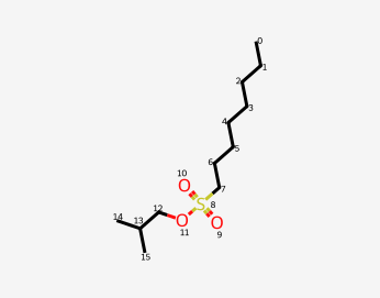 CCCCCCCCS(=O)(=O)OCC(C)C